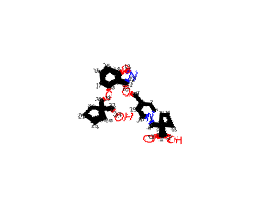 O=C(O)C1(CN2CCC(COc3noc4cccc(OCC5(CO)CCCC5)c34)CC2)CCC1